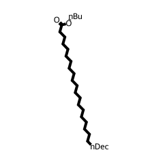 CCCCCCCCCCCCCCCCCCCCCCCCCCCCCC(=O)OCCCC